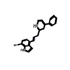 Brc1ccc(/C=C/CC2CC(c3ccccc3)=CCN2)c2cc[nH]c12